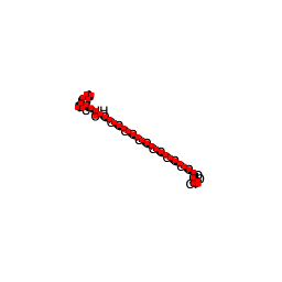 O=C(CCOCCOCCOCCOCCOCCOCCOCCOCCOCCOCCOCCOCCOCCC(=O)ON1C(=O)CCC1=O)NCCC(=O)N1Cc2ccccc2C#Cc2ccccc21